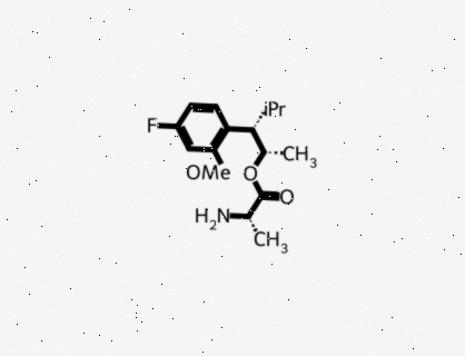 COc1cc(F)ccc1[C@H](C(C)C)[C@H](C)OC(=O)[C@H](C)N